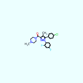 Cc1c(C(=O)N2CCN(C)CC2)nn(-c2ccc(F)cc2F)c1-c1ccc(Cl)cc1